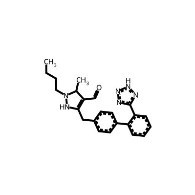 CCCCN1NC(Cc2ccc(-c3ccccc3-c3nn[nH]n3)cc2)=C(C=O)C1C